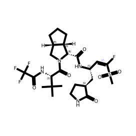 CC(C)(C)[C@H](NC(=O)C(F)(F)F)C(=O)N1C[C@@H]2CCC[C@@H]2[C@@H]1C(=O)N[C@H](/C=C(/F)S(C)(=O)=O)C[C@@H]1CCNC1=O